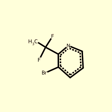 CC(F)(F)c1ncccc1Br